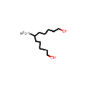 CCCCCC(CCCCCO)CCCCCO